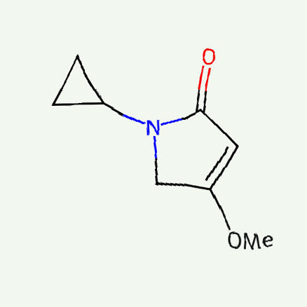 COC1=CC(=O)N(C2CC2)C1